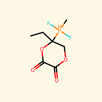 CCC1([PH](C)(F)F)COC(=O)C(=O)O1